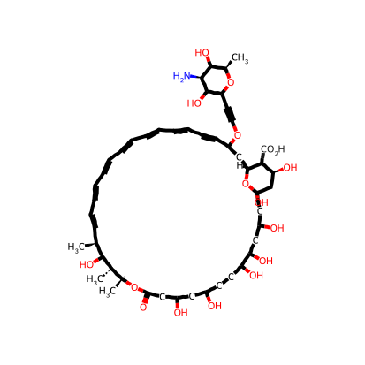 C[C@@H]1OC(=O)CC(O)CC(O)CCC(O)C(O)CC(O)CC2(O)C[C@H](O)C(C(=O)O)[C@H](CC(OC#CC3O[C@H](C)C(O)[C@H](N)C3O)/C=C/C=C/C=C/C=C/C=C/C=C/C=C/[C@H](C)C(O)[C@H]1C)O2